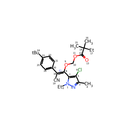 CCn1nc(C)c(Cl)c1/C(OCOC(=O)C(C)(C)CC)=C(\C#N)c1ccc(C(C)(C)C)cc1